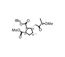 COC(=O)[C@@H]1C[C@@H](C)[C@@H](CC(=O)N(C)OC)N1C(=O)OC(C)(C)C